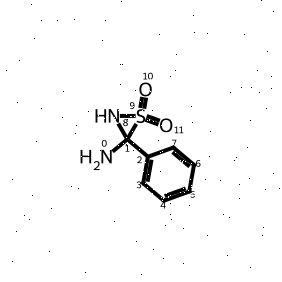 NC1(c2ccccc2)NS1(=O)=O